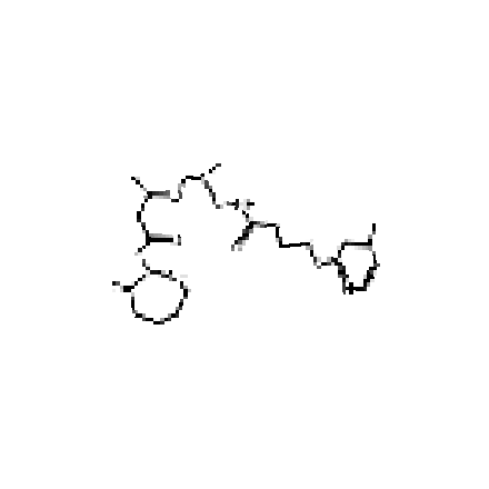 Cc1ccnc(SSCCC(=O)NCN(C)CO[C@H](C)CC(=O)SN2NCCCCC2=O)c1